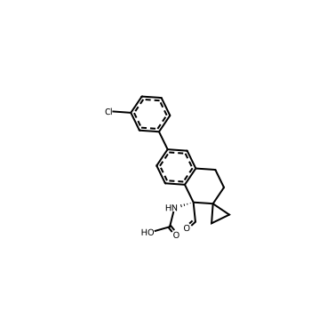 O=C[C@@]1(NC(=O)O)c2ccc(-c3cccc(Cl)c3)cc2CCC12CC2